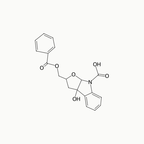 O=C(OCC1CC2(O)c3ccccc3N(C(=O)O)C2O1)c1ccccc1